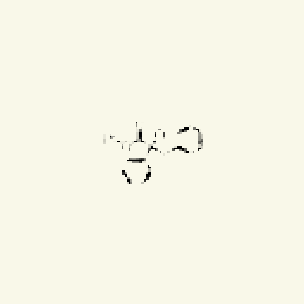 CC(C)OC(=O)C(O)(Cc1ccccc1)c1ccccc1